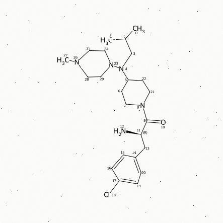 CC(C)CN(C1CCN(C(=O)[C@H](N)Cc2ccc(Cl)cc2)CC1)N1CCN(C)CC1